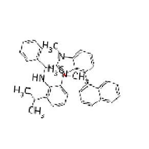 CC(C)c1cccc(C(C)C)c1NC(c1ccccc1)c1nc2c(-c3cccc4ccccc34)cccc2n1C